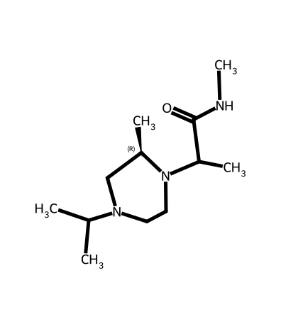 CNC(=O)C(C)N1CCN(C(C)C)C[C@H]1C